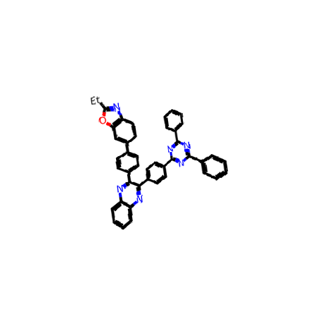 CCc1nc2ccc(-c3ccc(-c4nc5ccccc5nc4-c4ccc(-c5nc(-c6ccccc6)nc(-c6ccccc6)n5)cc4)cc3)cc2o1